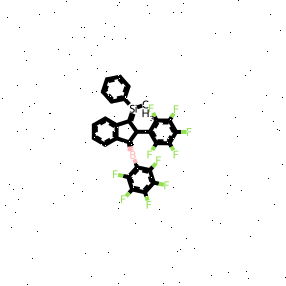 C[Si](=C1c2ccccc2C(=Bc2c(F)c(F)c(F)c(F)c2F)C1c1c(F)c(F)c(F)c(F)c1F)c1ccccc1